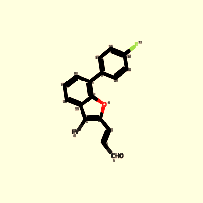 CC(C)c1c(/C=C/C=O)oc2c(-c3ccc(F)cc3)cccc12